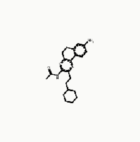 CC(=O)Nc1nc2c(nc1CCC1CCCCC1)-c1ccc(N)cc1CC2